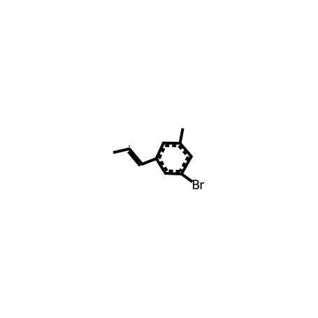 C[C]=Cc1cc(C)cc(Br)c1